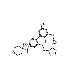 Cc1cc(OC2CC2)c(F)c(-c2ccc(NC3(C(=O)O)CCOCC3)cc2COC2CCCC2)c1